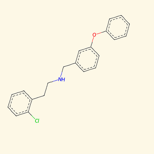 Clc1ccccc1CCNCc1cccc(Oc2ccccc2)c1